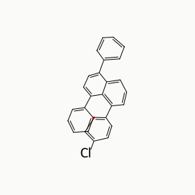 Clc1ccc(-c2cccc3c(-c4ccccc4)ccc(-c4ccccc4)c23)cc1